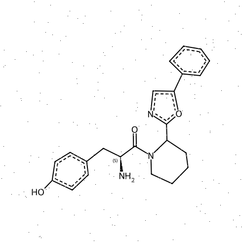 N[C@@H](Cc1ccc(O)cc1)C(=O)N1CCCCC1c1ncc(-c2ccccc2)o1